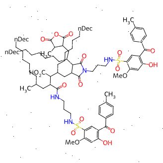 CCCCCCCCCCCCCCCCC(C)CC(C(=O)NCCCNS(=O)(=O)c1cc(C(=O)c2ccc(C)cc2)c(O)cc1OC)C(C(=O)O)C(CCCCCCCCCCCCCCCC)CC1C(=O)N(CCCNS(=O)(=O)c2cc(C(=O)c3ccc(C)cc3)c(O)cc2OC)C(=O)C1C(CCCCCCCCCCCCCCCC)CC1C(=O)OC(=O)C1C